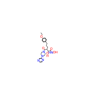 CCOc1ccc(CCCC(C(=O)N2CCN(c3cnccn3)CC2)[C@H](O)C(=O)NO)cc1